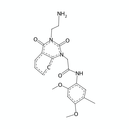 COc1cc(OC)c(NC(=O)Cn2c(=O)n(CCN)c(=O)c3ccccc32)cc1C